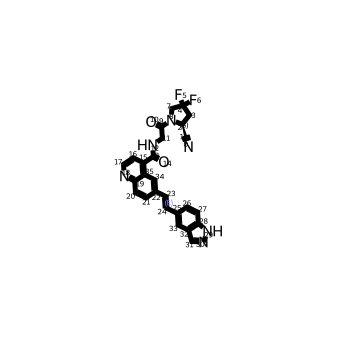 N#C[C@@H]1CC(F)(F)CN1C(=O)CNC(=O)c1ccnc2ccc(/C=C/c3ccc4[nH]ncc4c3)cc12